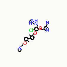 Cc1c(COc2cc(OCc3cncc(C#N)c3)c(CN(C)Cc3ncc[nH]3)cc2Cl)cccc1-c1cccc(OCCCN2CCCC2)c1C